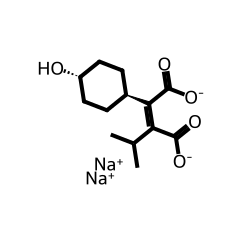 CC(C)/C(C(=O)[O-])=C(/C(=O)[O-])[C@H]1CC[C@H](O)CC1.[Na+].[Na+]